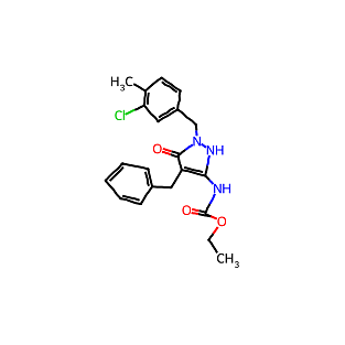 CCOC(=O)Nc1[nH]n(Cc2ccc(C)c(Cl)c2)c(=O)c1Cc1ccccc1